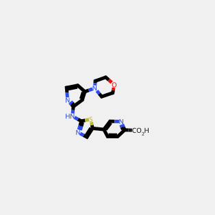 O=C(O)c1ccc(-c2cnc(Nc3cc(N4CCOCC4)ccn3)s2)cn1